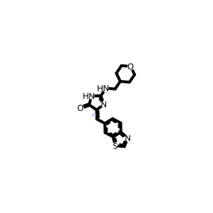 O=C1NC(NCC2CCOCC2)=N/C1=C\c1ccc2ncsc2c1